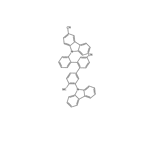 N#Cc1ccc(-c2ccc(C#N)c(-n3c4ccccc4c4ccccc43)c2)c(-c2ccccc2-n2c3ccccc3c3cc(C#N)ccc32)c1